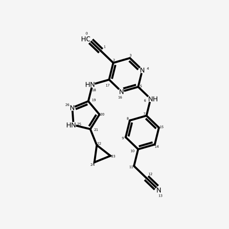 C#Cc1cnc(Nc2ccc(CC#N)cc2)nc1Nc1cc(C2CC2)[nH]n1